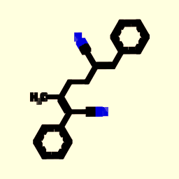 CC(CCC(C#N)=Cc1ccccc1)=C(C#N)c1ccccc1